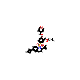 COCc1cc(S(=O)(=O)N2c3ccc(C4CCC4)cc3CC[C@H]2C2CC2)ccc1OCC1CCOCC1